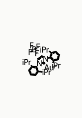 CC(C)c1cccc(C(C)C)c1-n1ccn(-c2c(C(C)C)cccc2C(C)C)[c]1=[Au-].F[B-](F)(F)F